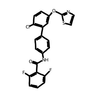 O=C(Nc1ccc(-c2cc(Oc3nccs3)ccc2Cl)cc1)c1c(F)cccc1F